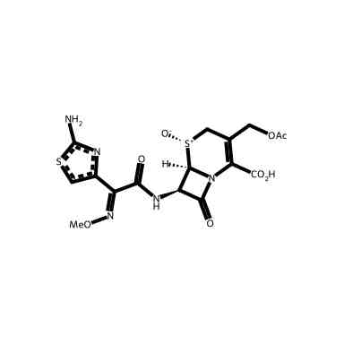 CON=C(C(=O)N[C@@H]1C(=O)N2C(C(=O)O)=C(COC(C)=O)C[S@@+]([O-])[C@H]12)c1csc(N)n1